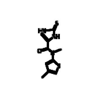 Cc1csc(N(C)C(=O)c2c[nH]c(=S)[nH]2)c1